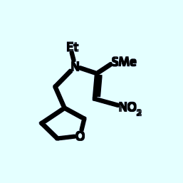 CCN(CC1CCOC1)C(=C[N+](=O)[O-])SC